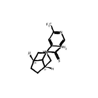 NC(=S)NC1[C@@H]2CC[C@H]1CN(c1ccnc(C(F)(F)F)c1)C2